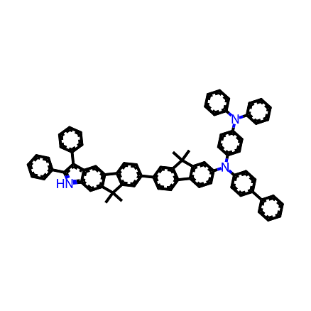 CC1(C)c2cc(-c3ccc4c(c3)C(C)(C)c3cc5[nH]c(-c6ccccc6)c(-c6ccccc6)c5cc3-4)ccc2-c2ccc(N(c3ccc(-c4ccccc4)cc3)c3ccc(N(c4ccccc4)c4ccccc4)cc3)cc21